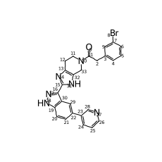 O=C(Cc1cccc(Br)c1)N1CCc2nc(-c3n[nH]c4ccc(-c5cccnc5)cc34)[nH]c2C1